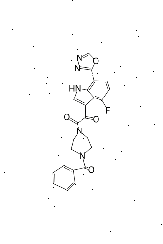 O=C(C(=O)N1CCN(C(=O)c2ccccc2)CC1)c1c[nH]c2c(-c3nnco3)ccc(F)c12